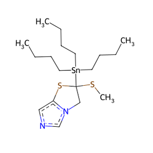 CCC[CH2][Sn]([CH2]CCC)([CH2]CCC)[C]1(SC)Cn2cncc2S1